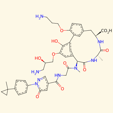 C[C@@H]1NC(=O)[C@@H](N(C)C(=O)CNC(=O)c2cnn(-c3ccc(C4(C)CC4)cc3)c(=O)c2)c2cc(OC[C@H](O)CN)c(O)c(c2)-c2cc(ccc2OCCCN)C[C@@H](C(=O)O)NC1=O